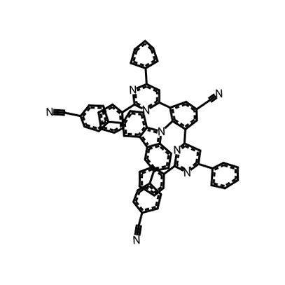 N#Cc1ccc(-c2ccc3c(c2)c2cc(-c4ccc(C#N)cc4)ccc2n3-c2c(-c3cc(-c4ccccc4)nc(-c4ccccc4)n3)cc(C#N)cc2-c2cc(-c3ccccc3)nc(-c3ccccc3)n2)cc1